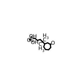 CC(C)(CCCP(=O)(O)O)C1CCCCC(=O)C1